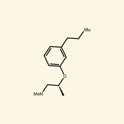 CNC[C@H](C)Oc1cccc(CCC(C)(C)C)c1